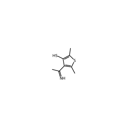 CC(=N)c1c(C)sc(C)c1S